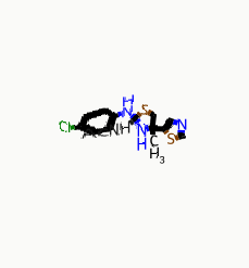 CC(=O)NC1(Nc2ccc(Cl)cc2)NC(C)(c2cncs2)CS1